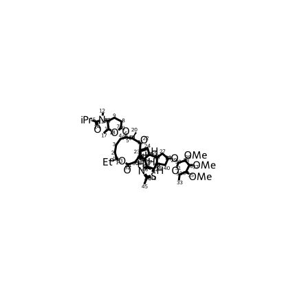 CC[C@H]1CCC[C@H](O[C@H]2CC[C@H](N(C)C(=O)C(C)C)C(C)O2)[C@@H](C)C(=O)C2=C[C@H]3[C@@H]4C[C@H](OC5OC(C)C(OC)C(OC)C5OC)C[C@H]4c4sc(C)nc4[C@H]3[C@@H]2CC(=O)O1